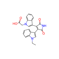 CCn1cc(C2=C(c3cn(CC(=O)O)c4ccccc34)C(=O)NC2=O)c2ccccc21